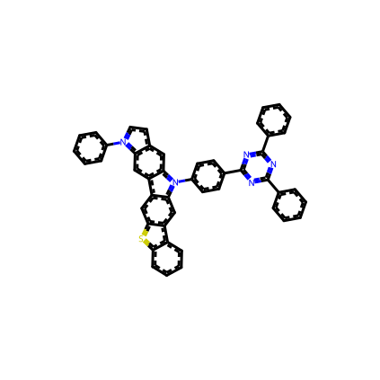 c1ccc(-c2nc(-c3ccccc3)nc(-c3ccc(-n4c5cc6ccn(-c7ccccc7)c6cc5c5cc6sc7ccccc7c6cc54)cc3)n2)cc1